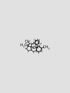 Cc1ccc(CC2CCC(C)(CCl)C2(O)Cn2cncn2)cc1